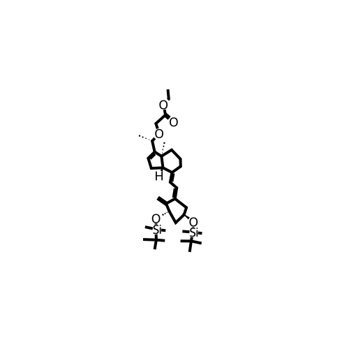 C=C1C(=CC=C2CCC[C@]3(C)C([C@H](C)OCC(=O)OCC)=CC[C@@H]23)C[C@@H](O[Si](C)(C)C(C)(C)C)C[C@@H]1O[Si](C)(C)C(C)(C)C